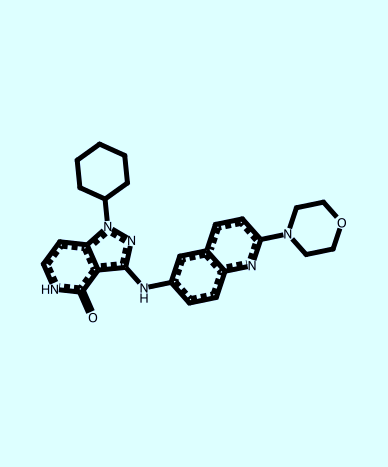 O=c1[nH]ccc2c1c(Nc1ccc3nc(N4CCOCC4)ccc3c1)nn2C1CCCCC1